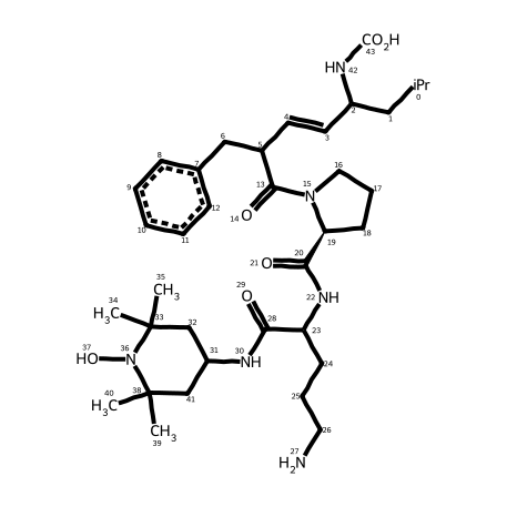 CC(C)CC(/C=C/C(Cc1ccccc1)C(=O)N1CCC[C@H]1C(=O)NC(CCCN)C(=O)NC1CC(C)(C)N(O)C(C)(C)C1)NC(=O)O